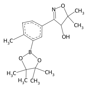 Cc1ccc(C2=NOC(C)(C)C2O)cc1B1OC(C)(C)C(C)(C)O1